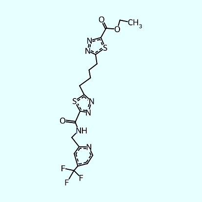 CCOC(=O)c1nnc(CCCCc2nnc(C(=O)NCc3cc(C(F)(F)F)ccn3)s2)s1